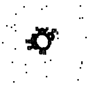 O=C1NCCOc2ccc(C(F)(F)F)cc2-c2cc(c(F)cc2F)NS(=O)(=O)c2cc1cc(Cl)c2O